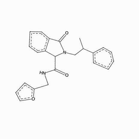 CC(CN1C(=O)c2ccccc2C1C(=O)NCc1ccco1)c1ccccc1